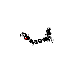 CC(C)(O)c1cc2nn(C3CCC(N4CCN(C(=O)N5CCN(c6cc(F)c([C@H]7CCC(=O)NC7=O)c(F)c6)CC5)CC4)CC3)cc2cc1NC(=O)c1ccc2cc(C#N)cnn12